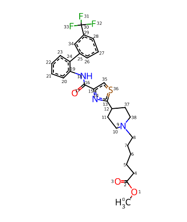 COC(=O)CCCCCN1CCC(c2nc(C(=O)Nc3ccccc3-c3cccc(C(F)(F)F)c3)cs2)CC1